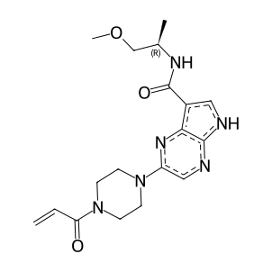 C=CC(=O)N1CCN(c2cnc3[nH]cc(C(=O)N[C@H](C)COC)c3n2)CC1